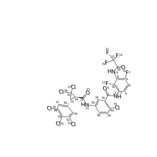 O=C(Nc1ccc(F)c(NC(=O)C(F)(F)F)c1F)c1cc(NC(=O)[C@H]2[C@H](c3cc(Cl)c(Cl)c(Cl)c3)C2(Cl)Cl)ccc1Cl